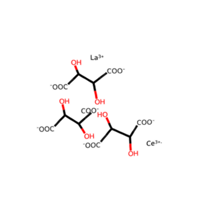 O=C([O-])C(O)C(O)C(=O)[O-].O=C([O-])C(O)C(O)C(=O)[O-].O=C([O-])C(O)C(O)C(=O)[O-].[Ce+3].[La+3]